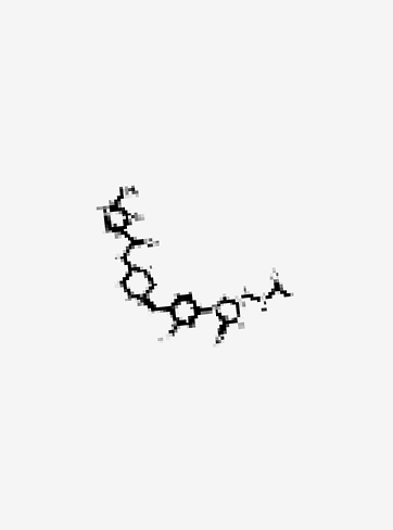 CC(=O)NC[C@H]1CN(c2ccc(C=C3CCC(CC(=O)c4csc(N)n4)CC3)c(F)c2)C(=O)O1